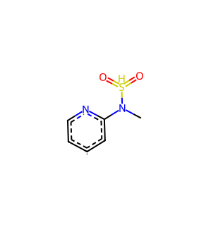 CN(c1c[c]ccn1)[SH](=O)=O